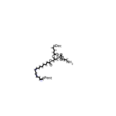 CCCCC/C=C\C/C=C\C/C=C\CCCCCCC(=O)OC[C@H](COP(=O)(O)OCCN)OC(=O)CCCCCCCCCCCCC